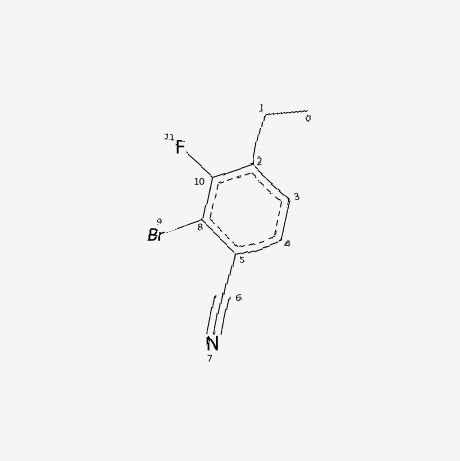 CCc1ccc(C#N)c(Br)c1F